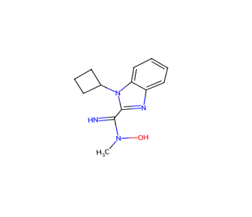 CN(O)C(=N)c1nc2ccccc2n1C1CCC1